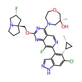 C[C@@H]1C[C@@H]1c1c(Cl)cc2[nH]ncc2c1-c1ncc2c(N3CCOC[C@@](C)(O)C3)nc(OC[C@@]34CCCN3C[C@H](F)C4)nc2c1F